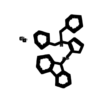 C1=CC([SiH](Cc2ccccc2)Cc2ccccc2)=[C]([Zr+2][CH]2c3ccccc3-c3ccccc32)C1.[Cl-].[Cl-]